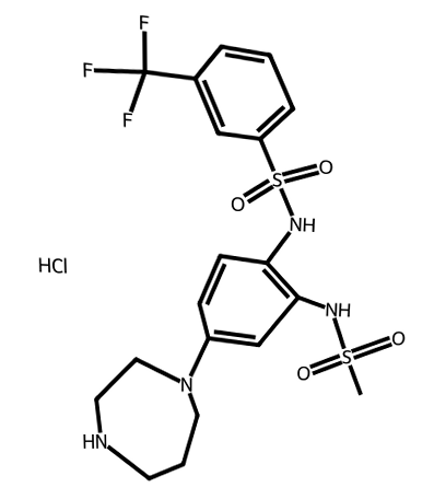 CS(=O)(=O)Nc1cc(N2CCCNCC2)ccc1NS(=O)(=O)c1cccc(C(F)(F)F)c1.Cl